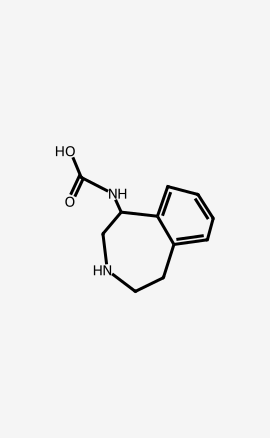 O=C(O)NC1CNCCc2ccccc21